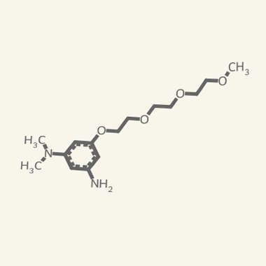 COCCOCCOCCOc1cc(N)cc(N(C)C)c1